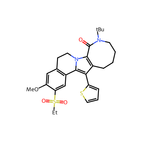 CCS(=O)(=O)c1cc2c(cc1OC)CCn1c3c(c(-c4cccs4)c1-2)CCCCN(C(C)(C)C)C3=O